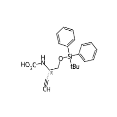 C#C[C@@H](CO[Si](c1ccccc1)(c1ccccc1)C(C)(C)C)NC(=O)O